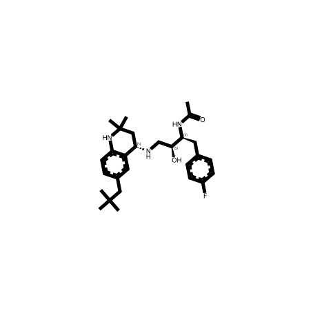 CC(=O)N[C@@H](Cc1ccc(F)cc1)[C@@H](O)CN[C@H]1CC(C)(C)Nc2ccc(CC(C)(C)C)cc21